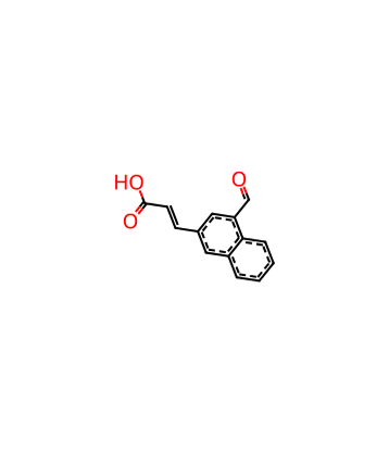 O=Cc1cc(C=CC(=O)O)cc2ccccc12